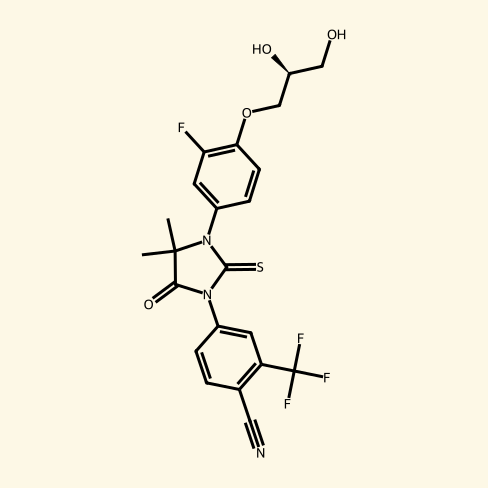 CC1(C)C(=O)N(c2ccc(C#N)c(C(F)(F)F)c2)C(=S)N1c1ccc(OC[C@@H](O)CO)c(F)c1